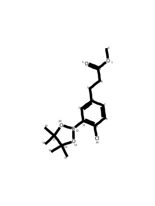 COC(=O)CCc1ccc(Cl)c(B2OC(C)(C)C(C)(C)O2)c1